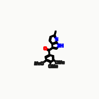 COc1cc(C(=O)c2c[nH]c3nc(C)ccc23)cc(OC)c1OC